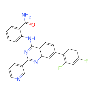 NC(=O)c1ccccc1NC1=NC(c2cccnc2)=NC2C=C(C3=C(F)C=C(F)CC3)C=CC12